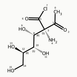 CC(=O)[C@](N)(C(=O)Cl)[C@@H](O)[C@H](O)[C@H](O)CO